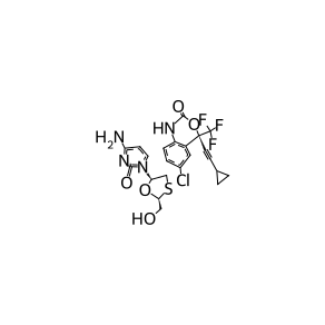 Nc1ccn([C@H]2CS[C@@H](CO)O2)c(=O)n1.O=C1Nc2ccc(Cl)cc2[C@@](C#CC2CC2)(C(F)(F)F)O1